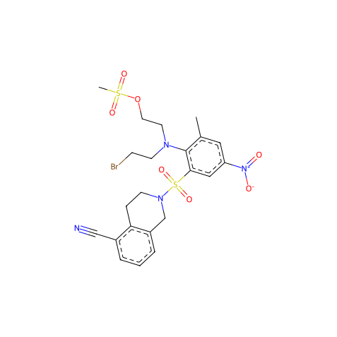 Cc1cc([N+](=O)[O-])cc(S(=O)(=O)N2CCc3c(C#N)cccc3C2)c1N(CCBr)CCOS(C)(=O)=O